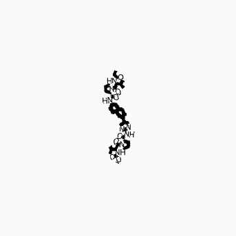 CCC(=O)N[C@H](C(=O)N1CCC[C@H]1C(=O)Nc1ccc2cc(-c3cnc(NC(=O)[C@@H]4CCCN4C(=O)[C@@H](NC(=O)OC)C(C)C)nc3)ccc2c1)C(C)C